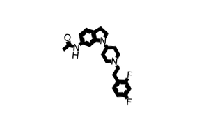 CC(=O)Nc1ccc2c(c1)N(C1CCN(CCc3ccc(F)cc3F)CC1)CC2